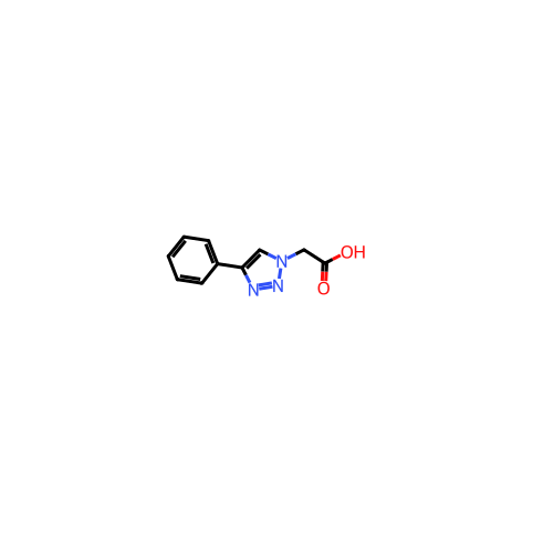 O=C(O)Cn1cc(-c2ccccc2)nn1